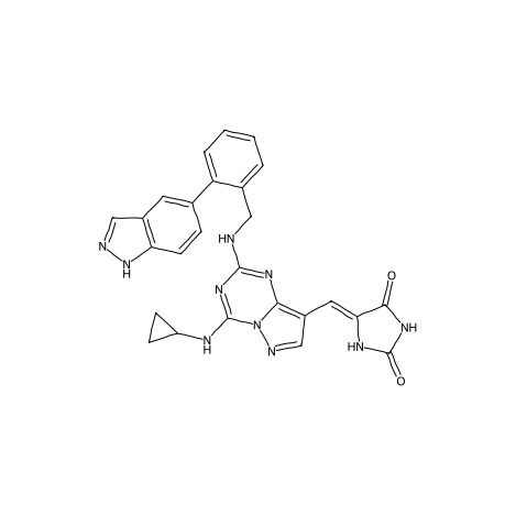 O=C1NC(=O)/C(=C/c2cnn3c(NC4CC4)nc(NCc4ccccc4-c4ccc5[nH]ncc5c4)nc23)N1